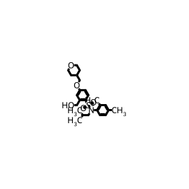 Cc1ccc(N(CC(C)C)S(=O)(=O)c2ccc(OCC3CCOCC3)cc2CO)c(C)c1